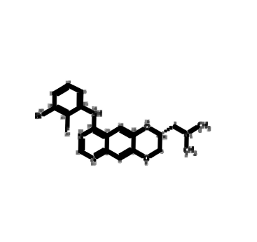 CN(C)C[C@@H]1COc2cc3ncnc(Nc4cccc(Br)c4F)c3cc2O1